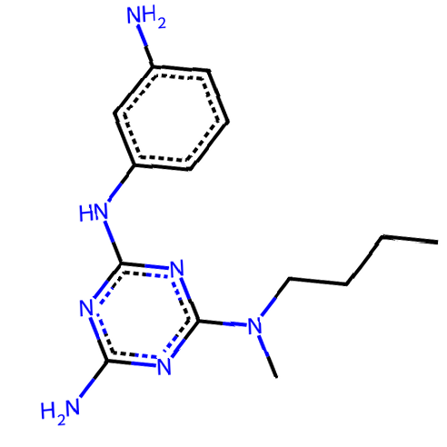 CCCCN(C)c1nc(N)nc(Nc2cccc(N)c2)n1